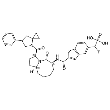 O=C(N[C@H]1CCCC[C@H]2CC[C@@H](C(=O)N3CC(c4cccnc4)CC34CC4)N2C1=O)c1cc2cc(C(F)P(=O)(O)O)ccc2s1